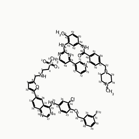 CS(=O)(=O)CCNCc1ccc(-c2ccc3ncnc(Nc4ccc(OCc5cccc(F)c5)c(Cl)c4)c3c2)o1.Cc1ccc(NC(=O)c2ccc(CN3CCN(C)CC3)cc2)cc1Nc1nccc(-c2cccnc2)n1